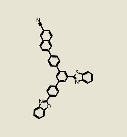 N#Cc1ccc2cc(-c3ccc(-c4cc(-c5ccc(-c6nc7ccccc7o6)cc5)cc(-c5nc6ccccc6s5)c4)cc3)ccc2c1